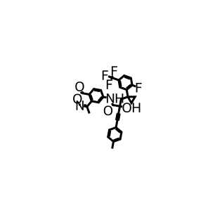 Cc1ccc(C#CC(O)(CC2(c3cc(C(F)(F)F)ccc3F)CC2)C(=O)Nc2ccc3c(=O)onc(C)c3c2)cc1